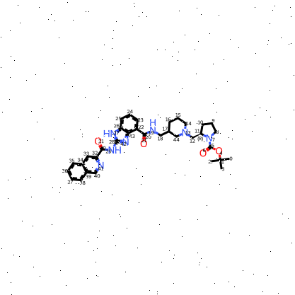 CC(C)(C)OC(=O)N1CCC[C@@H]1CN1CCCC(CNC(=O)c2cccc3[nH]c(NC(=O)c4cc5ccccc5cn4)nc23)C1